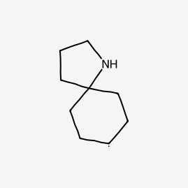 [CH]1CCC2(CC1)CCCN2